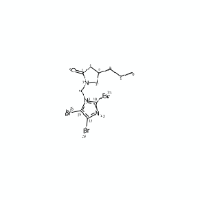 CCCC1CC(=O)N(Cn2c(Br)nc(Br)c2Br)C1